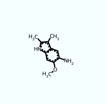 COc1cc2[nH]c(C)c(C)c2cc1N